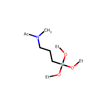 CCO[Si](CCCN(C)C(C)=O)(OCC)OCC